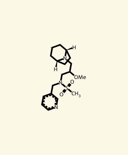 COC(CN1[C@@H]2C[CH]C[C@H]1CC2)CN(Cc1cccnc1)S(C)(=O)=O